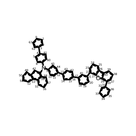 c1ccc(-c2ccc(N(c3ccc(-c4ccc(-c5cccc(-c6cccc7c6oc6c(-c8ccccc8)cccc67)c5)cc4)cc3)c3cc4ccccc4c4ccccc34)cc2)cc1